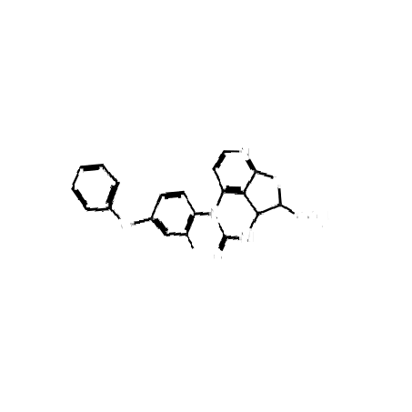 O=C(O)C1Sc2nccc3c2C1NC(=O)N3c1ccc(Oc2ccccc2)cc1F